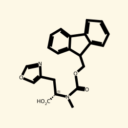 CN(C(=O)OCC1c2ccccc2-c2ccccc21)[C@@H](Cc1cocn1)C(=O)O